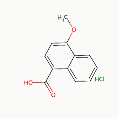 COc1ccc(C(=O)O)c2ccccc12.Cl